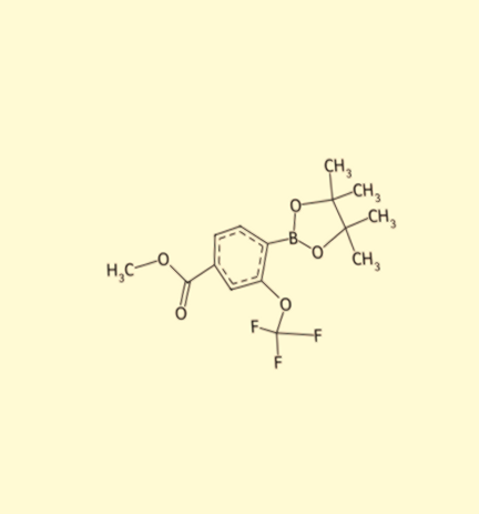 COC(=O)c1ccc(B2OC(C)(C)C(C)(C)O2)c(OC(F)(F)F)c1